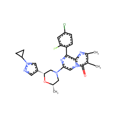 Cc1nc2c(-c3ccc(Cl)cc3F)nc(N3C[C@@H](c4cnn(C5CC5)c4)O[C@@H](C)C3)cn2c(=O)c1C